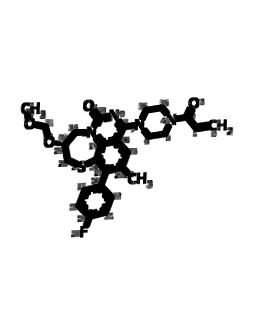 C=CC(=O)N1CCN(c2nc(=O)n3c4c(c(-c5ccc(F)cc5)c(C)cc24)SC[C@@H](OCOC)C3)CC1